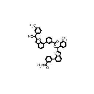 NC(=O)c1cccc(-c2cccc3cc(C(OC(=O)c4cccc(-c5cccc6cc(C(O)c7cccc(C(F)(F)F)c7)sc56)c4)c4cccc(C(F)(F)F)c4)sc23)c1